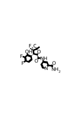 C[C@@H]1[C@@H](c2ccc(F)c(F)c2O)[C@H](C(=O)Nc2ccnc(C(N)=O)c2)O[C@@]1(C)C(F)(F)F